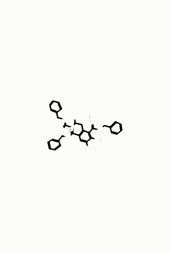 O=C(NC(Cc1c(C(=O)OCc2ccccc2)cc(O)c(O)c1C(=O)OCc1ccccc1)C(=O)O)OCc1ccccc1